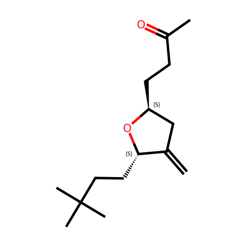 C=C1C[C@H](CCC(C)=O)O[C@H]1CCC(C)(C)C